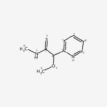 CNC(=S)C(OC)c1ccccn1